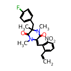 C=Cc1cccc([N+](=O)[O-])c1C=C1C(=O)N(C)C(C)(Cc2ccc(F)cc2)C(=O)N1C